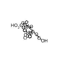 O=C(CCOCCOCCOCCO)NCCC1(C(=O)N[C@@H](Cc2ccc(NC(=O)c3c(Cl)cccc3Cl)cc2)C(=O)O)CCCC1